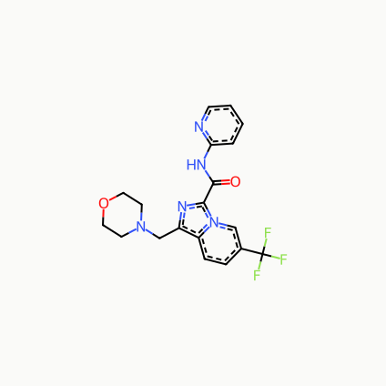 O=C(Nc1ccccn1)c1nc(CN2CCOCC2)c2ccc(C(F)(F)F)cn12